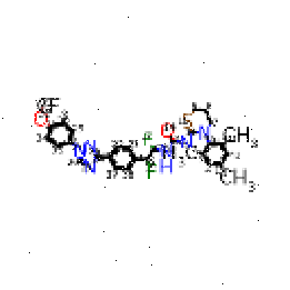 Cc1cc(C)c(N2CCCS/C2=N\C(=O)NC(F)C(F)c2ccc(-c3ncn(-c4ccc(OC(F)(F)F)cc4)n3)cc2)c(C)c1